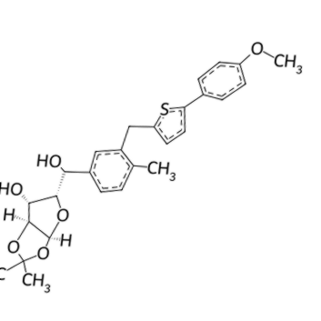 COc1ccc(-c2ccc(Cc3cc(C(O)[C@@H]4O[C@H]5OC(C)(C)O[C@H]5[C@@H]4O)ccc3C)s2)cc1